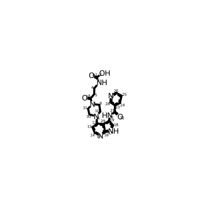 O=C(O)NCCC(=O)N1CCN(c2ccnc3[nH]cc(NC(=O)c4cccnc4)c23)CC1